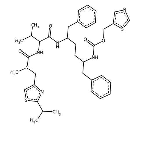 CC(C)c1nc(CN(C)C(=O)NC(C(=O)NC(CCC(Cc2ccccc2)NC(=O)OCc2cncs2)Cc2ccccc2)C(C)C)cs1